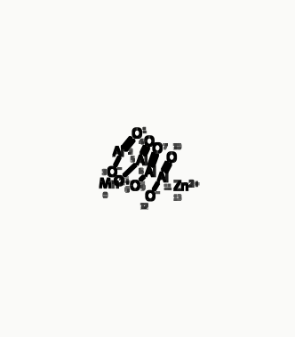 [Mn+2].[O]=[Al][O-].[O]=[Al][O-].[O]=[Al][O-].[O]=[Al][O-].[Zn+2]